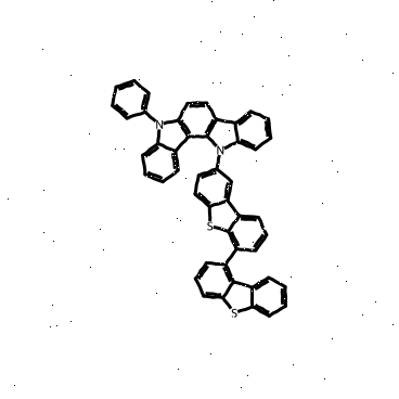 c1ccc(-n2c3ccccc3c3c2ccc2c4ccccc4n(-c4ccc5sc6c(-c7cccc8sc9ccccc9c78)cccc6c5c4)c23)cc1